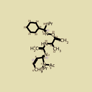 C=C(/N=C(\C=C/C)N(CCC)C(C)=O)NC(C)C(=C)O/N=C(\CCC)C1CCCCC1